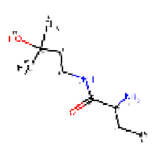 CC(C)CC(N)C(=O)NCCC(C)(C)O